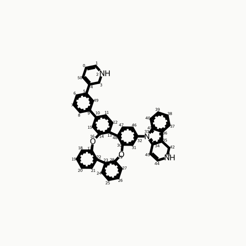 C1=CNCC(c2cccc(-c3ccc4c(c3)Oc3ccccc3-c3ccccc3Oc3cc(-n5c6c(c7ccccc75)CNC=C6)ccc3-4)c2)=C1